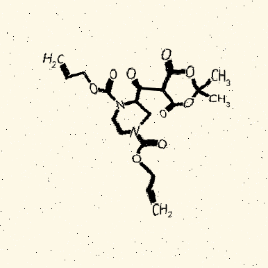 C=CCOC(=O)N1CCN(C(=O)OCC=C)C(C(=O)C2C(=O)OC(C)(C)OC2=O)C1